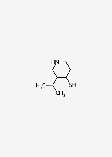 CC(C)C1CNCCC1S